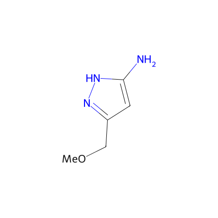 COCc1cc(N)[nH]n1